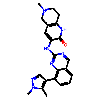 Cc1c(-c2cccc3cnc(Nc4cc5c([nH]c4=O)CCN(C)C5)nc23)cnn1C